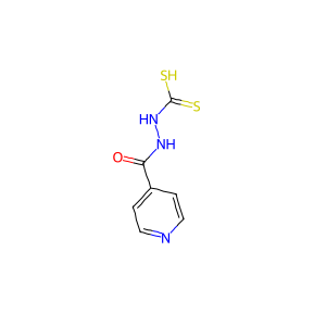 O=C(NNC(=S)S)c1ccncc1